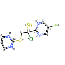 Fc1cnc(C(S)(Cl)CSc2ncccn2)nc1